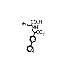 CC(C)C[C@H](NCC(C(=O)O)c1ccc(-c2cccnc2)cc1)C(=O)O